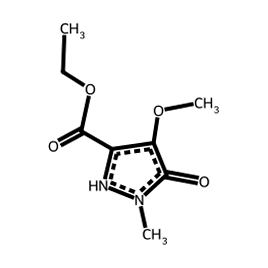 CCOC(=O)c1[nH]n(C)c(=O)c1OC